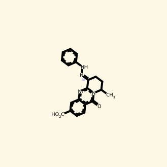 CC1CC/C(=N\Nc2ccccc2)c2nc3cc(C(=O)O)ccc3c(=O)n21